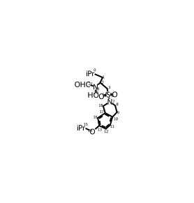 CC(C)CC(CS(=O)(=O)N1CCc2ccc(OC(C)C)cc2C1)N(O)C=O